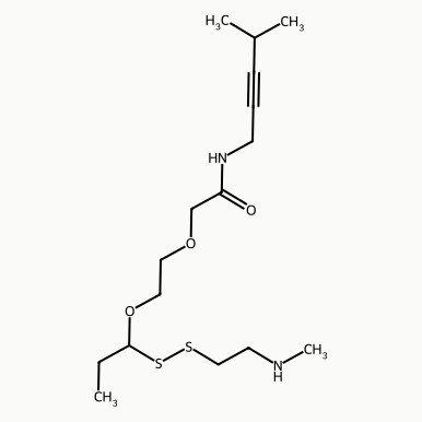 CCC(OCCOCC(=O)NCC#CC(C)C)SSCCNC